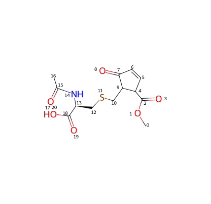 COC(=O)C1C=CC(=O)C1CSC[C@H](NC(C)=O)C(=O)O